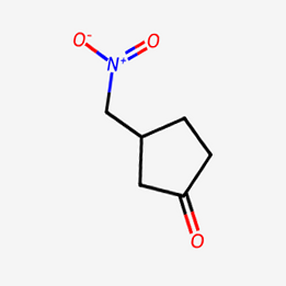 O=C1CCC(C[N+](=O)[O-])C1